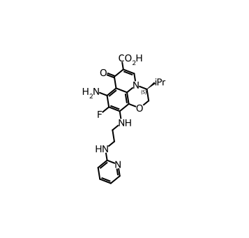 CC(C)[C@H]1COc2c(NCCNc3ccccn3)c(F)c(N)c3c(=O)c(C(=O)O)cn1c23